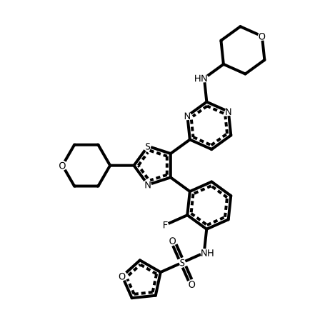 O=S(=O)(Nc1cccc(-c2nc(C3CCOCC3)sc2-c2ccnc(NC3CCOCC3)n2)c1F)c1ccoc1